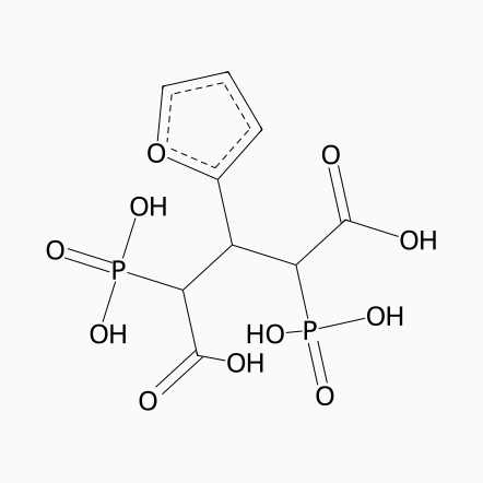 O=C(O)C(C(c1ccco1)C(C(=O)O)P(=O)(O)O)P(=O)(O)O